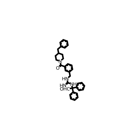 N=C(NCc1cccc(C(=O)N2CCC(Cc3ccccc3)CC2)c1)NC(C=O)(c1ccccc1)c1ccccc1